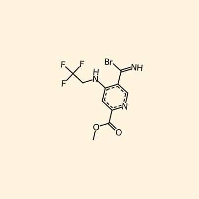 COC(=O)c1cc(NCC(F)(F)F)c(C(=N)Br)cn1